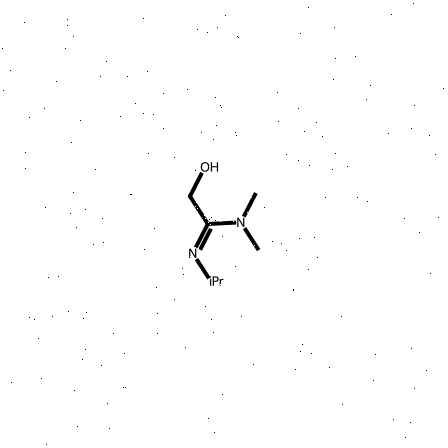 CC(C)N=C(CO)N(C)C